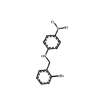 CCCCc1ccccc1CNc1ccc(N(CC)CC)cc1